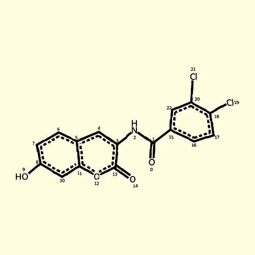 O=C(Nc1cc2ccc(O)cc2oc1=O)c1ccc(Cl)c(Cl)c1